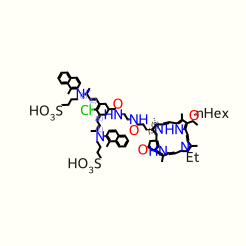 CCCCCCOC(C)c1c(C)c2cc3nc(c4c5[nH]c(cc6nc(cc1[nH]2)C(C)=C6CC)c(C)c5C(=O)C4)[C@@H](CCC(=O)NCCNC(=O)C1CC(/C=C/C(C)=[N+](\CCCCS(=O)(=O)O)c2ccc4ccccc4c2C)=C(Cl)C(=C/C=C(\C)N(CCCCS(=O)(=O)O)c2ccc4ccccc4c2C)/C1)[C@@H]3C